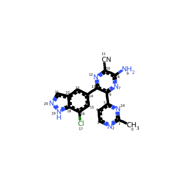 Cc1nccc(-c2nc(N)c(C#N)nc2-c2cc(Cl)c3[nH]ncc3c2)n1